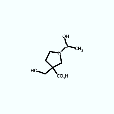 CB(O)N1CCC(CO)(C(=O)O)C1